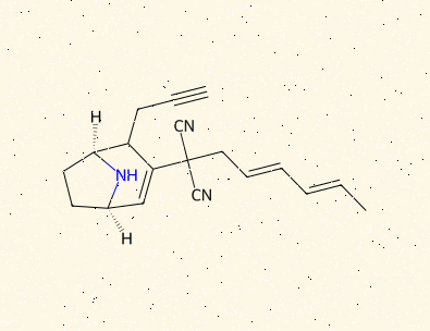 C#CCC1C(C(C#N)(C#N)C/C=C/C=C/C)=C[C@H]2CC[C@@H]1N2